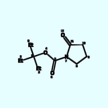 CCC(CC)(CC)OC(=O)N1CCCC1=O